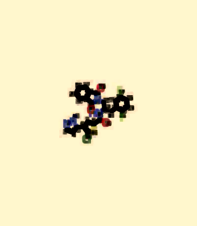 Cn1nccc1-c1cc(C(=O)N[C@@H](Cc2cc(F)ccc2F)CN2C(=O)c3ccccc3C2=O)sc1Cl